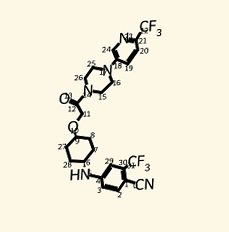 N#Cc1ccc(N[C@H]2CC[C@H](OCC(=O)N3CCN(c4ccc(C(F)(F)F)nc4)CC3)CC2)cc1C(F)(F)F